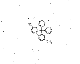 Cc1ccc2c(c1)C(c1ccccc1)(c1ccccc1)c1cc(C#N)ccc1-2